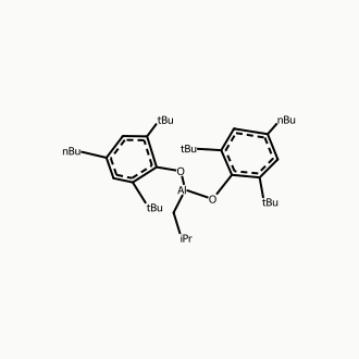 CCCCc1cc(C(C)(C)C)c([O][Al]([CH2]C(C)C)[O]c2c(C(C)(C)C)cc(CCCC)cc2C(C)(C)C)c(C(C)(C)C)c1